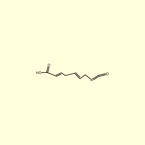 O=C=NCC=CCC=CC(=O)O